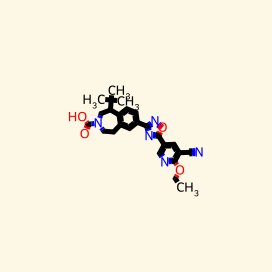 CCOc1ncc(-c2nc(-c3ccc4c(c3)CCN(C(=O)O)CC4C(C)(C)C)no2)cc1C#N